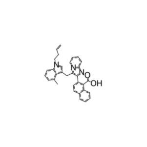 C=CCCn1cc(Cc2c(-c3ccc4ccccc4c3C(=O)O)nc3ccccn23)c2c(C)cccc21